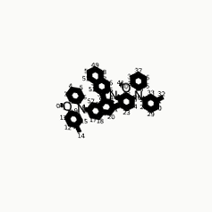 COc1ccccc1N(c1cccc(C)c1)c1ccc2cc3c4ccc(N(c5cccc(C)c5)c5ccccc5OC)cc4n4c5cc6ccccc6cc5c(c2c1)c34